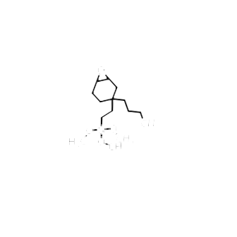 CCCCC1(CC[Si](OC)(OC)OC)CCC2OC2C1